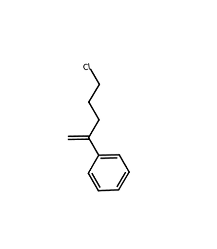 C=C(CCCCl)c1ccccc1